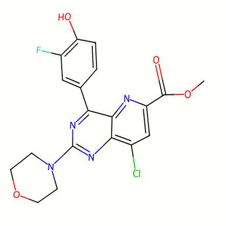 COC(=O)c1cc(Cl)c2nc(N3CCOCC3)nc(-c3ccc(O)c(F)c3)c2n1